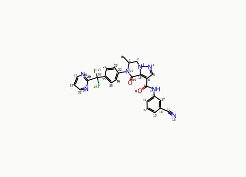 CC1Cn2ncc(C(=O)Nc3cccc(C#N)c3)c2C(=O)N1c1ccc(C(F)(F)c2ncccn2)cc1